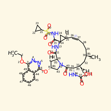 CCOc1nnc(O[C@@H]2C[C@H]3C(=O)N[C@]4(C(=O)NS(=O)(=O)C5CC5)C[C@H]4/C=C\CC[C@@H](C)C[C@@H](C)[C@H](NC(=O)O)C(=O)N3C2)c2ccccc12